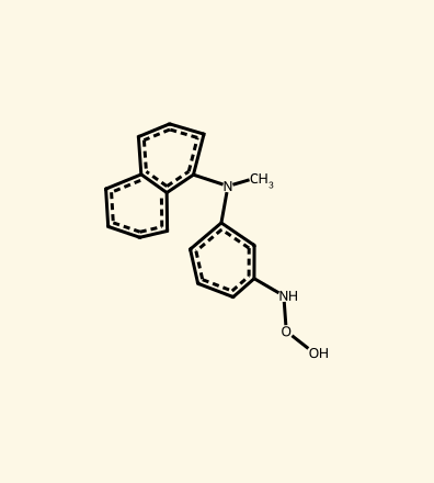 CN(c1cccc(NOO)c1)c1cccc2ccccc12